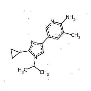 Cc1cc(-c2cn(C(C)C)c(C3CC3)n2)cnc1N